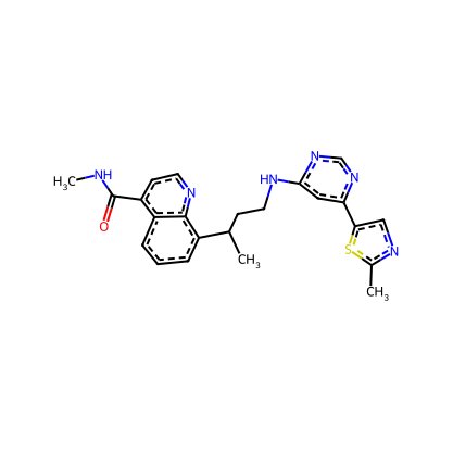 CNC(=O)c1ccnc2c(C(C)CCNc3cc(-c4cnc(C)s4)ncn3)cccc12